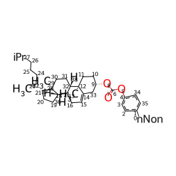 CCCCCCCCCc1ccc(OC(=O)O[C@H]2CC[C@@]3(C)C(=CC[C@H]4[C@@H]5CC[C@H](C(C)CCCC(C)C)[C@@]5(C)CC[C@@H]43)C2)cc1